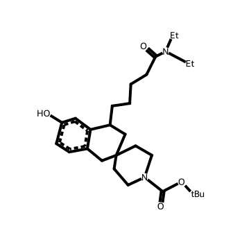 CCN(CC)C(=O)CCCCC1CC2(CCN(C(=O)OC(C)(C)C)CC2)Cc2ccc(O)cc21